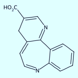 O=C(O)C1=CN=C2C(=CC=Nc3ccccc32)C1